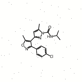 Cc1onc(-c2ccc(Cl)cc2)c1-c1cc(C)n(C(=O)NC(C)C)n1